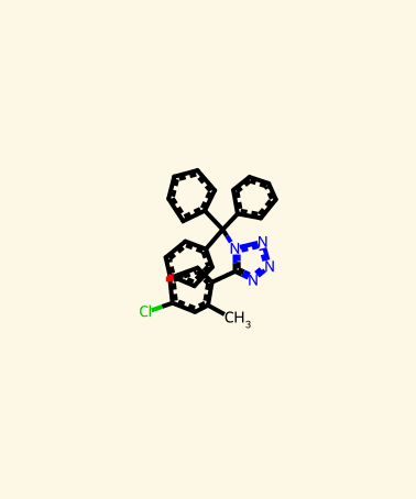 Cc1cc(Cl)ccc1-c1nnnn1C(c1ccccc1)(c1ccccc1)c1ccccc1